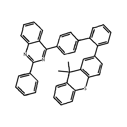 CC1(C)c2ccccc2Sc2ccc(-c3ccccc3-c3ccc(-c4nc(-c5ccccc5)nc5ccccc45)cc3)cc21